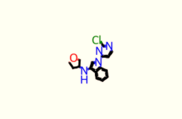 Clc1nccc(-n2cc(NC3CCOC3)c3ccccc32)n1